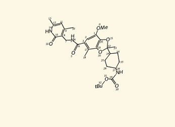 COc1cc(C(=O)NCc2c(C)cc(C)[nH]c2=O)c(C)c2c1OC(C)(C1CCC(NC(=O)OC(C)(C)C)CC1)O2